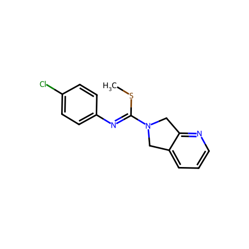 CS/C(=N\c1ccc(Cl)cc1)N1Cc2cccnc2C1